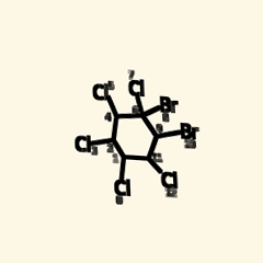 ClC1C(Cl)C(Cl)C(Cl)(Br)C(Br)C1Cl